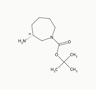 CC(C)(C)OC(=O)N1CCCC[C@@H](N)C1